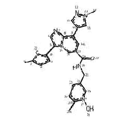 Cc1ccc(-c2cnc3c(-c4cnn(C)c4)cc(C(=O)NCc4ccc(C)[n+](O)c4)cn23)s1